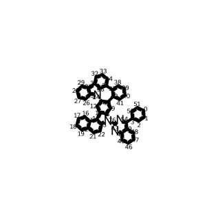 c1ccc(-c2nc(-n3c4cc5c(cc4c4c6ccccc6ccc43)-n3c4ccccc4c4cccc(c43)-c3ccccc3-5)nc3ccccc23)cc1